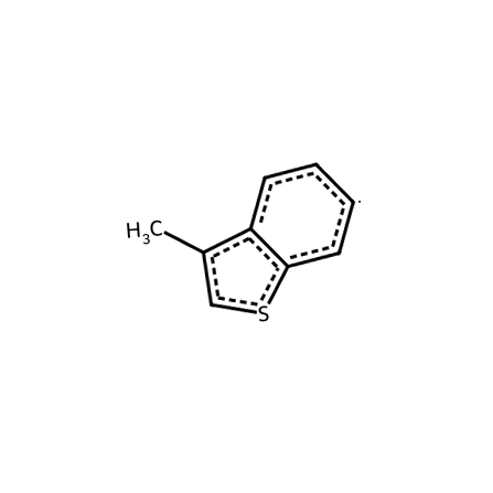 Cc1csc2c[c]ccc12